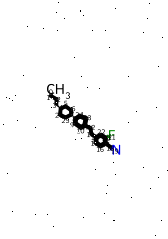 CCCC[C@H]1CC[C@H](c2ccc(CCc3ccc(C#N)c(F)c3)cc2)CC1